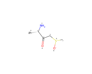 CC(C)[C@H](N)C(=O)C[S+](C)[O-]